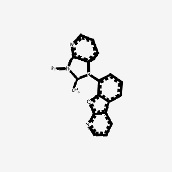 CC(C)N1c2ncccc2N(c2cccc3c2oc2ncccc23)C1C